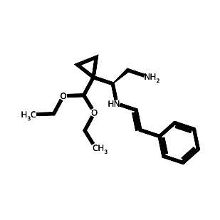 CCOC(OCC)C1([C@@H](CN)NC=Cc2ccccc2)CC1